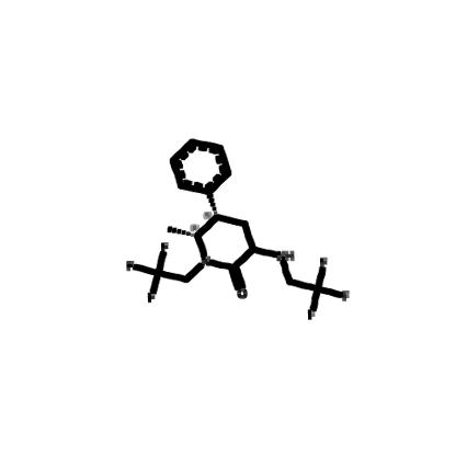 C[C@@H]1[C@H](c2ccccc2)CC(NCC(F)(F)F)C(=O)N1CC(F)(F)F